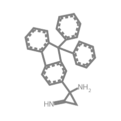 N=C1CC1(N)c1ccc2c(c1)C(c1ccccc1)(c1ccccc1)c1ccccc1-2